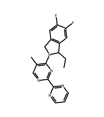 CCC1c2cc(F)c(F)cc2CN1c1nc(-c2ncccn2)ncc1C